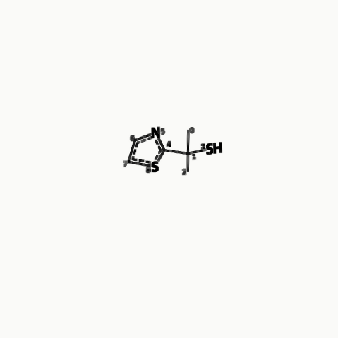 CC(C)(S)c1nccs1